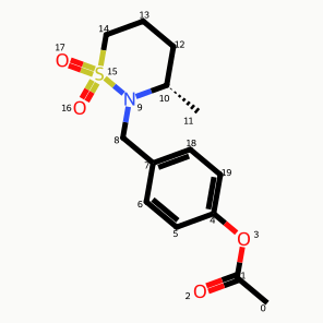 CC(=O)Oc1ccc(CN2[C@@H](C)CCCS2(=O)=O)cc1